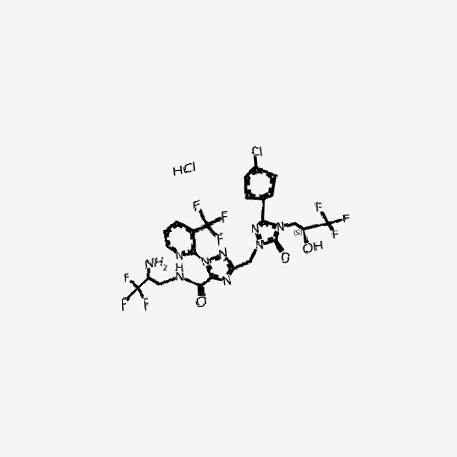 Cl.NC(CNC(=O)c1nc(Cn2nc(-c3ccc(Cl)cc3)n(C[C@H](O)C(F)(F)F)c2=O)nn1-c1ncccc1C(F)(F)F)C(F)(F)F